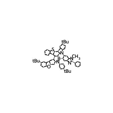 Cn1c(-c2ccccc2)nc2cc3c(cc21)-n1c2ccc(C(C)(C)C)cc2c2c4sc5ccccc5c4c4c(c21)B3N(c1ccc(C(C)(C)C)cc1)c1cc2oc3ccc(C(C)(C)C)cc3c2cc1-4